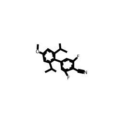 COc1cc(C(C)C)c(-c2cc(F)c(C#N)c(F)c2)c(C(C)C)c1